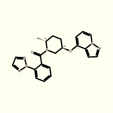 C[C@@H]1CC[C@@H](Oc2cccn3nccc23)CN1C(=O)c1ccccc1-n1nccn1